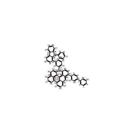 c1ccc(-c2ccc(-c3ccc(N(c4cccc(-c5cccc6c7ccccc7n(-c7ccccc7)c56)c4)c4ccccc4-c4cccc5cccc(-c6ccccc6)c45)cc3)cc2)cc1